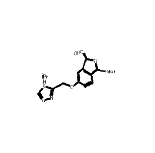 CCCCC1OC(C=O)c2cc(OCC3=NN=C[SH]3C(C)C)ccc21